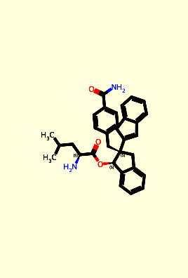 CC(C)C[C@H](N)C(=O)O[C@@H]1c2ccccc2C[C@@]1(Cc1ccc(C(N)=O)cc1)C1=Cc2ccccc2C1